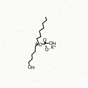 CCCCCCCCCCCCCO.O=P([O-])(O)O.[K+]